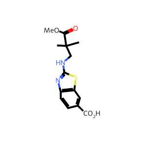 COC(=O)C(C)(C)CNc1nc2ccc(C(=O)O)cc2s1